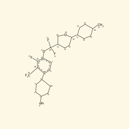 CCCC1CCC(c2ccc(OC(F)(F)C3CCC(C4CCC(C)CC4)OC3)c(F)c2C(F)(F)F)CC1